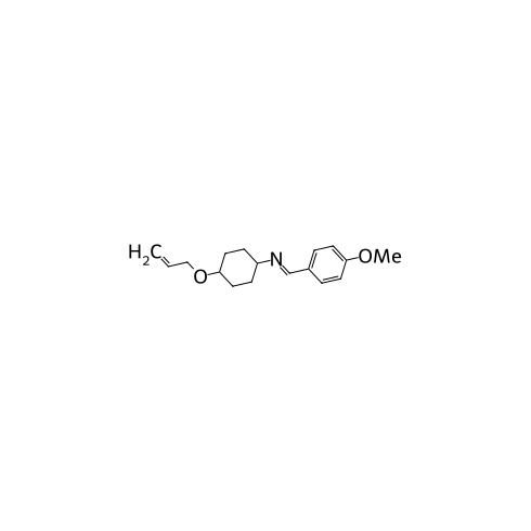 C=CCOC1CCC(N=Cc2ccc(OC)cc2)CC1